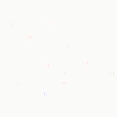 NC(CS)C(=O)O.OC(CS)C(O)CS.OCC(O)CS.OCCS